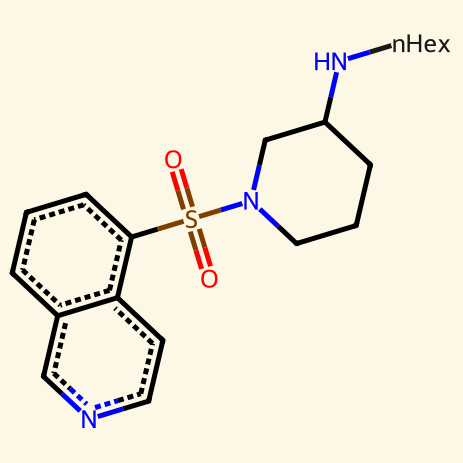 CCCCCCNC1CCCN(S(=O)(=O)c2cccc3cnccc23)C1